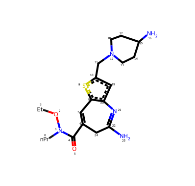 CCCN(OCC)C(=O)C1=Cc2sc(CN3CCC(N)CC3)cc2N=C(N)C1